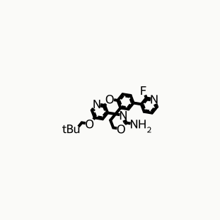 CC(C)(C)COc1cnc2c(c1)C1(CCOC(N)=N1)c1cc(-c3cccnc3F)ccc1O2